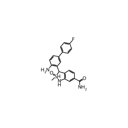 C[SH]1(=O)Nc2cc(C(N)=O)ccc2C1c1cc(-c2ccc(F)cc2)ccc1N